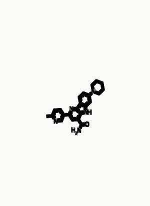 Cc1ccc(-c2cc(C(N)=O)c3[nH]c4cc(N5CCCCC5)ccc4c3n2)cn1